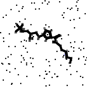 CC/C=C/CCNC(=O)c1cnc(OCC(O)CNC(C)(C)C)s1